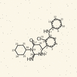 C[C@@]1(c2cccc(Nc3ccccc3)c2Cl)CC(=O)N(C2CCCCC2)C(=N)N1